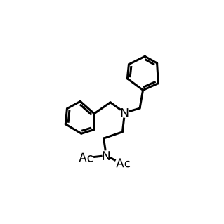 CC(=O)N(CCN(Cc1ccccc1)Cc1ccccc1)C(C)=O